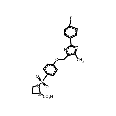 Cc1oc(-c2ccc(F)cc2)nc1COc1ccc(S(=O)(=O)N2CC[C@@H]2C(=O)O)cc1